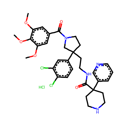 COc1cc(C(=O)N2CCC(CCNC(=O)C3(c4cccnc4)CCNCC3)(c3ccc(Cl)c(Cl)c3)C2)cc(OC)c1OC.Cl